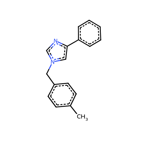 Cc1ccc(Cn2cnc(-c3ccccc3)c2)cc1